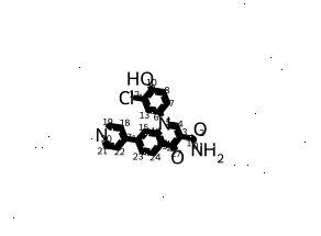 NC(=O)c1cn(-c2ccc(O)c(Cl)c2)c2cc(-c3ccncc3)ccc2c1=O